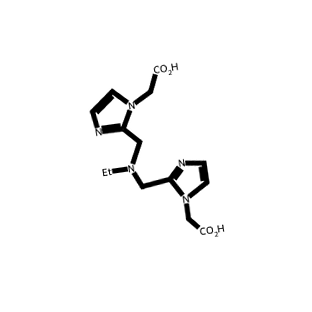 CCN(Cc1nccn1CC(=O)O)Cc1nccn1CC(=O)O